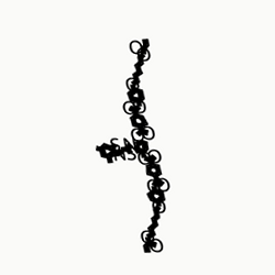 C=CC(=O)OCCCCCCOc1ccc(OC(=O)C2CCC(C(=O)Oc3ccc(OC(=O)C4CCC(C(=O)Oc5ccc(OCCCCCCOC(=O)C=C)cc5)CC4)c4sc(-c5nc6c(C)cc(C)cc6s5)nc34)CC2)cc1